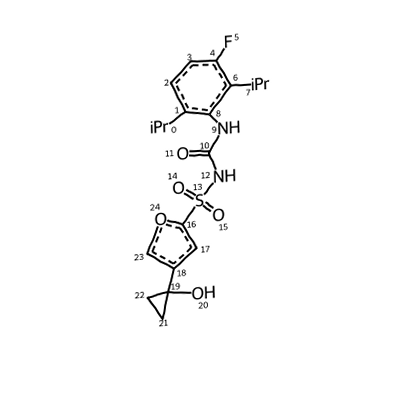 CC(C)c1ccc(F)c(C(C)C)c1NC(=O)NS(=O)(=O)c1cc(C2(O)CC2)co1